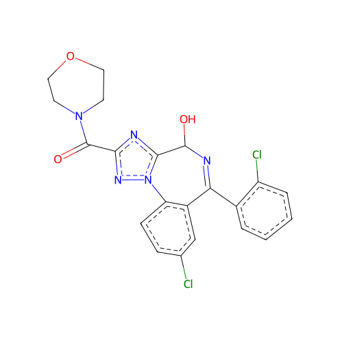 O=C(c1nc2n(n1)-c1ccc(Cl)cc1C(c1ccccc1Cl)=NC2O)N1CCOCC1